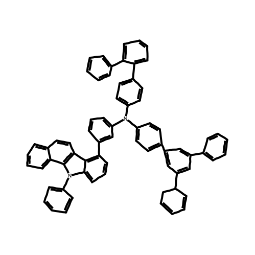 C1=CCC(c2cc(-c3ccccc3)cc(-c3ccc(N(c4ccc(-c5ccccc5-c5ccccc5)cc4)c4cccc(-c5cccc6c5c5ccc7ccccc7c5n6-c5ccccc5)c4)cc3)c2)C=C1